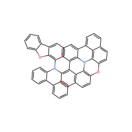 c1ccc(-c2ccccc2N(c2cccc3c2oc2ccccc23)c2ccc3ccc4oc5ccc6cccc7c8cccc9c2c3c4n(c89)c5c67)cc1